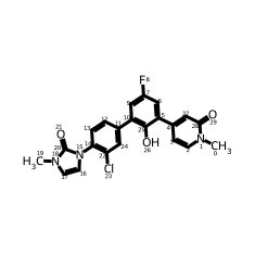 Cn1ccc(-c2cc(F)cc(-c3ccc(-n4ccn(C)c4=O)c(Cl)c3)c2O)cc1=O